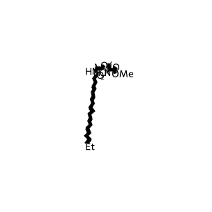 CCC=CCC=CCC=CCC=CCC=CCC=CCCC(=O)N[C@@H](C)C(=O)O[C@H](C)[C@H](N)C(=O)OC